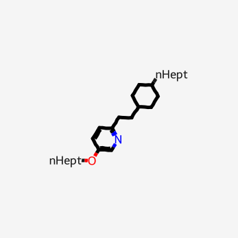 CCCCCCCOc1ccc(CCC2CCC(CCCCCCC)CC2)nc1